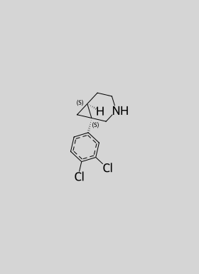 Clc1ccc([C@@]23CNCC[C@@H]2C3)cc1Cl